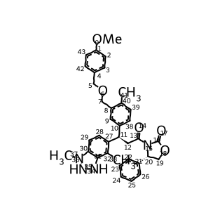 COc1ccc(COCc2cc([C@@H](CC(=O)N3C(=O)OC[C@@H]3c3ccccc3)c3ccc4c(c3C)NNN4C)ccc2C)cc1